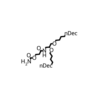 CCCCCCCCCCCCCCOCC(CNC(=O)CCOC(N)=O)OCCCCCCCCCCCCCC